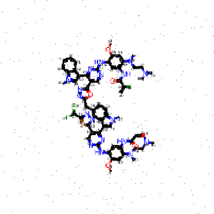 C=CC(=O)Nc1cc(Nc2ncc(-c3nnc(C(F)F)s3)c(-c3cn(C)c4ccc(Cc5nnc(-c6cnc(Nc7cc(NC(=O)C(=C)F)c(N(C)CCN(C)C)cc7OC)nc6-c6cn(C)c7ccccc67)o5)cc34)n2)c(OC)cc1N(C)CCN(C)C